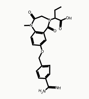 CCC(C(=O)O)N1CC(=O)N(C)c2ccc(OCc3ccc(C(=N)N)cc3)cc2C1=O